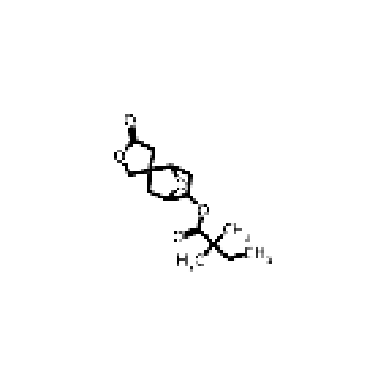 CCC(C)(C)C(=O)OC1CC2OC1CC21COC(=O)C1